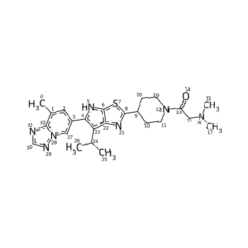 Cc1cc(-c2[nH]c3sc(C4CCN(C(=O)CN(C)C)CC4)nc3c2C(C)C)cn2ncnc12